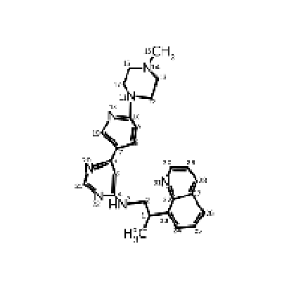 CC(CNc1cc(-c2ccc(N3CCN(C)CC3)nc2)ncn1)c1cccc2cccnc12